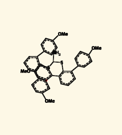 COc1ccc(-c2cccc(-c3ccc(OC)cc3)c2S[CH]([BiH2])Sc2c(-c3ccc(OC)cc3)cccc2-c2ccc(OC)cc2)cc1